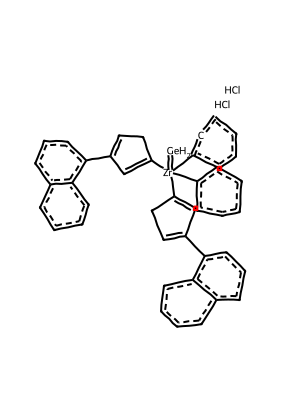 Cl.Cl.[GeH2]=[Zr]([C]1=CC(c2cccc3ccccc23)=CC1)([C]1=CC(c2cccc3ccccc23)=CC1)([c]1ccccc1)[c]1ccccc1